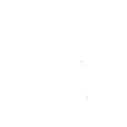 Cc1ccc(Br)nc1Cl